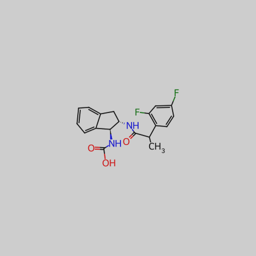 CC(C(=O)N[C@H]1Cc2ccccc2[C@@H]1NC(=O)O)c1ccc(F)cc1F